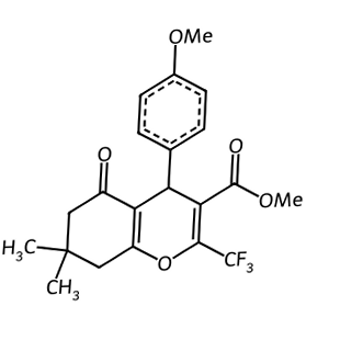 COC(=O)C1=C(C(F)(F)F)OC2=C(C(=O)CC(C)(C)C2)C1c1ccc(OC)cc1